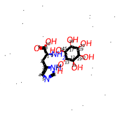 N[C@@H](Cc1cnc[nH]1)C(=O)O.O[C@H]1[C@H](O)[C@@H](O)[C@H](O)[C@@H](O)[C@H]1O